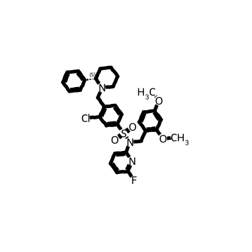 COc1ccc(CN(c2cccc(F)n2)S(=O)(=O)c2ccc(CN3CCCC[C@H]3c3ccccc3)c(Cl)c2)c(OC)c1